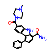 CN1CCN(C(=O)c2ccc3c(c2)[nH]c2c(C(N)=O)ccc(-c4ccccc4)c23)CC1